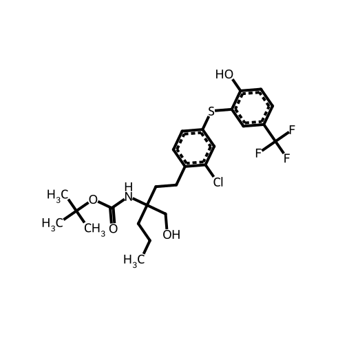 CCCC(CO)(CCc1ccc(Sc2cc(C(F)(F)F)ccc2O)cc1Cl)NC(=O)OC(C)(C)C